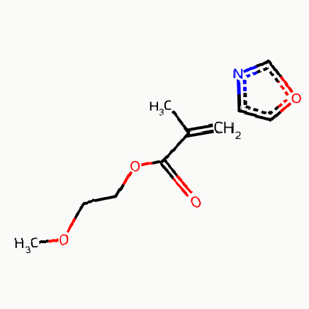 C=C(C)C(=O)OCCOC.c1cocn1